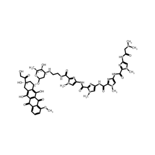 COc1cccc2c1C(=O)c1c(O)c3c(c(O)c1C2=O)C[C@@](O)(C(=O)CO)C[C@@H]3OC1C[C@H](NCCNC(=O)c2nc(NC(=O)c3nc(NC(=O)c4nc(NC(=O)c5nc(NC(=O)CN(C)C)cn5C)cn4C)cn3C)cn2C)[C@H](O)[C@H](C)O1